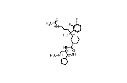 CNC[C@@H](NC(=O)N1CCC[C@@H]([C@@](O)(CCCNC(C)=O)c2cccc(F)c2F)C1)[C@H](O)C1CCCC1